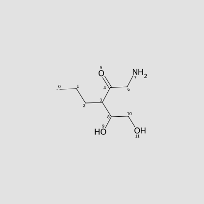 [CH2]CCC(C(=O)CN)C(O)CO